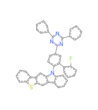 Fc1ccccc1-c1cc(-c2nc(-c3ccccc3)nc(-c3ccccc3)n2)ccc1-n1c2ccccc2c2cc3sc4ccccc4c3cc21